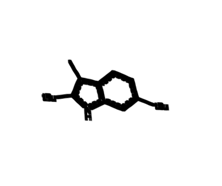 Cc1c(C(C)(C)C)[nH]c2cc(C(C)(C)C)ccc12